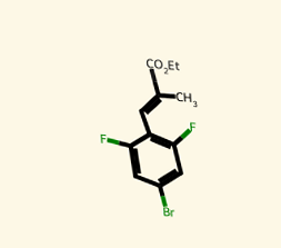 CCOC(=O)/C(C)=C/c1c(F)cc(Br)cc1F